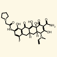 C=CN(C)[C@@H]1C(O)=C(C(N)=O)C(=O)[C@@]2(O)C(O)=C3C(=O)c4c(O)c(NC(=O)CN5CCCC5)cc(F)c4C[C@H]3C[C@@H]12